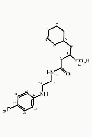 O=C(CC(CC1CCCCC1)C(=O)O)NCCNc1ccc(F)cc1